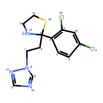 Clc1ccc(C2(CCn3cncn3)NCCS2)c(Cl)c1